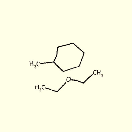 CC1CCCCC1.CCOCC